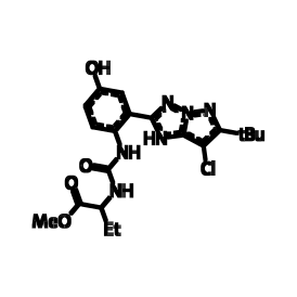 CCC(NC(=O)Nc1ccc(O)cc1-c1nn2nc(C(C)(C)C)c(Cl)c2[nH]1)C(=O)OC